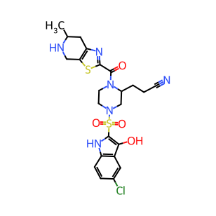 CC1Cc2nc(C(=O)N3CCN(S(=O)(=O)c4[nH]c5ccc(Cl)cc5c4O)CC3CCC#N)sc2CN1